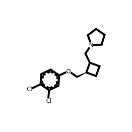 Clc1ccc(OC[C@@H]2CCC2CN2CCCC2)cc1Cl